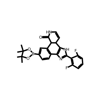 CC1(C)OB(c2ccc3c(c2)C2C(=O)NC=CC2c2[nH]c(-c4c(F)cccc4F)nc2-3)OC1(C)C